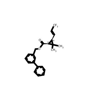 CC1(C)[C@H](C=CC(F)(F)F)[C@@H]1C(=O)OCc1cccc(-c2ccccc2)c1